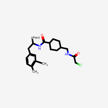 CCCCCC(Cc1ccc(C)c(C)c1)NC(=O)C1CCC(CNC(=O)CCl)CC1